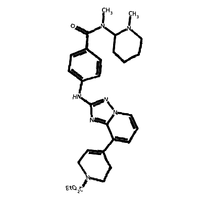 CCOC(=O)N1CC=C(c2cccn3nc(Nc4ccc(C(=O)N(C)C5CCCCN5C)cc4)nc23)CC1